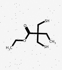 CCOC(=O)C(CC)(CS)CS